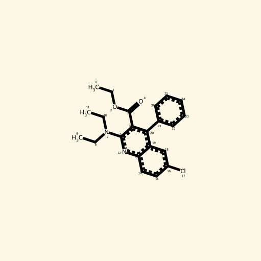 CCOC(=O)c1c(N(CC)CC)nc2ccc(Cl)cc2c1-c1ccccc1